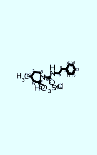 CC1CCN(C(=O)NCCc2ccccc2)C(=O)C1.O=S(=O)(O)Cl